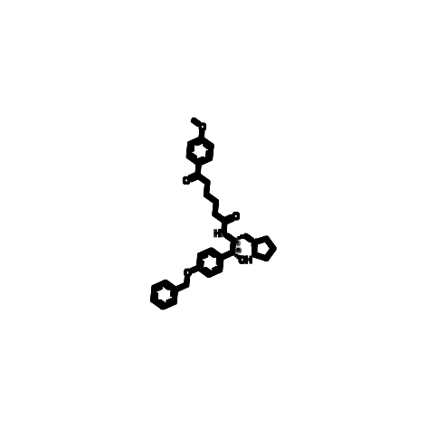 COc1ccc(C(=O)CCCCC(=O)N[C@H](CN2CCCC2)[C@H](O)c2ccc(OCc3ccccc3)cc2)cc1